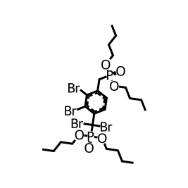 CCCCOP(=O)(Cc1ccc(C(Br)(Br)P(=O)(OCCCC)OCCCC)c(Br)c1Br)OCCCC